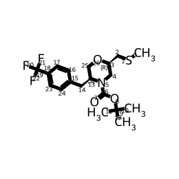 CSC[C@H]1CN(C(=O)OC(C)(C)C)[C@@H](Cc2ccc(C(F)(F)F)cc2)CO1